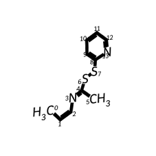 C/C=C\N=C(/C)SSc1ccccn1